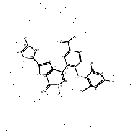 CC(=O)c1ccc(Oc2c(C)cc(F)cc2C)c(-c2cn(C)c(=O)c3sc(-c4nnc(C)o4)cc23)c1